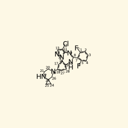 Fc1cccc(F)c1C1=Nc2c(Cl)cnn2-c2cc(N3CCNC4(CC4)C3)ccc2N1